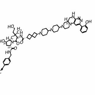 C#Cc1ccc(CNC(=O)[C@@H]2C[C@@H](O)CN2C(=O)[C@@H](NC(=O)[C@H]2CC3(C2)C[C@H](N2CCC(N4CCC(N5CCN6c7cc(-c8ccccc8O)nnc7NC[C@H]6C5)CC4)CC2)C3)C(C)(C)CCO)cc1